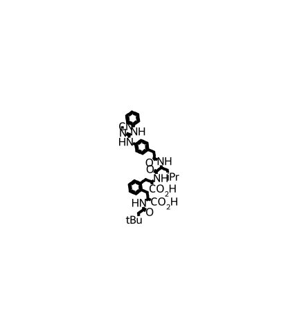 CC(C)CC(NC(=O)Cc1ccc(NC(=NC#N)Nc2ccccc2)cc1)C(=O)NC(Cc1ccccc1CC(NC(=O)CC(C)(C)C)C(=O)O)C(=O)O